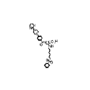 O=C(NCC(NCCCCCCS(=O)(=O)c1ccccc1)C(=O)O)c1ccc(N2CCN(c3ncccn3)CC2)cc1